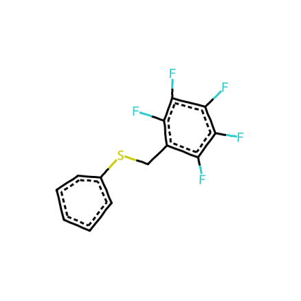 Fc1c(F)c(F)c(CSc2ccccc2)c(F)c1F